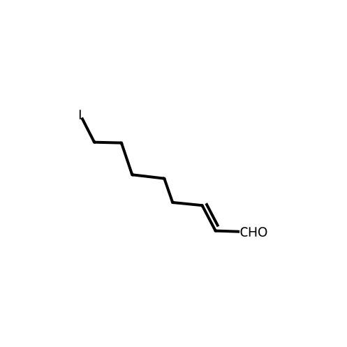 O=C/C=C/CCCCCI